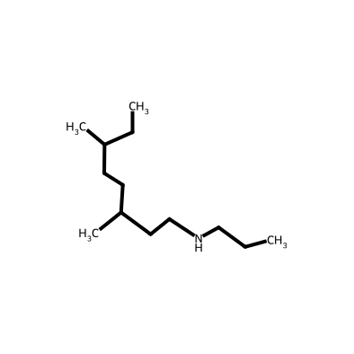 CCCNCCC(C)CCC(C)CC